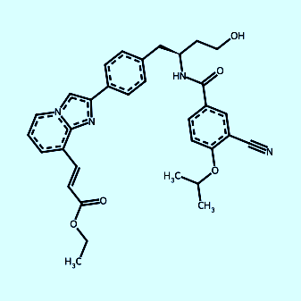 CCOC(=O)/C=C/c1cccn2cc(-c3ccc(C[C@@H](CCO)NC(=O)c4ccc(OC(C)C)c(C#N)c4)cc3)nc12